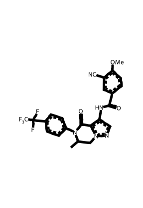 COc1ccc(C(=O)Nc2cnn3c2C(=O)N(c2ccc(C(F)(F)C(F)(F)F)cc2)C(C)C3)cc1C#N